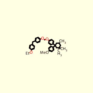 CCOc1ccc(Cc2ccc(OCOc3ccc(C4(c5ccc(OC)cc5)CC(C)CC(C)(C)C4)cc3)cc2)cc1